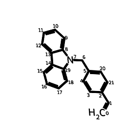 C=Cc1ccc(Cn2c3ccccc3c3ccccc32)cc1